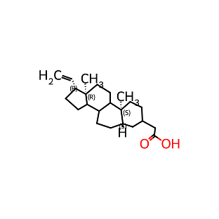 C=C[C@H]1CCC2C3CC[C@H]4CC(CC(=O)O)CC[C@]4(C)C3CC[C@@]21C